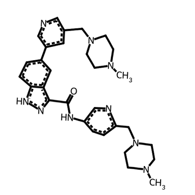 CN1CCN(Cc2cncc(-c3ccc4[nH]nc(C(=O)Nc5ccc(CN6CCN(C)CC6)nc5)c4c3)c2)CC1